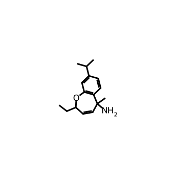 CCC1C=CC(C)(N)c2ccc(C(C)C)cc2O1